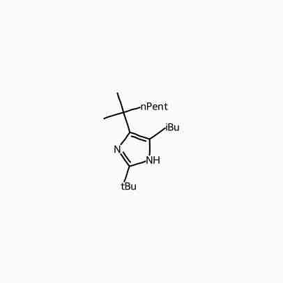 CCCCCC(C)(C)c1nc(C(C)(C)C)[nH]c1C(C)CC